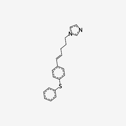 C(=Cc1ccc(Sc2ccccc2)cc1)CCCn1ccnc1